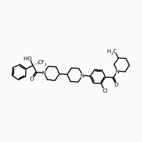 CC1CCCN(C(=O)c2ccc(N3CCC(C4CCN(C(=O)[C@](O)(c5ccccc5)C(F)(F)F)CC4)CC3)cc2Cl)C1